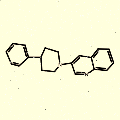 [c]1nc2ccccc2cc1N1CCC(c2ccccc2)CC1